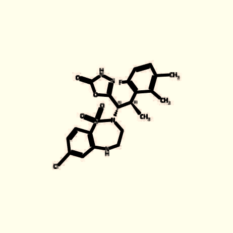 Cc1ccc(F)c([C@@H](C)[C@@H](c2n[nH]c(=O)o2)N2CCNc3cc(Cl)ccc3S2(=O)=O)c1C